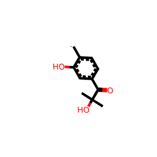 [CH2]c1ccc(C(=O)C(C)(C)O)cc1O